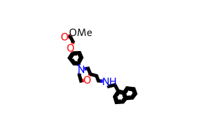 COC(=O)COc1ccc(N2CCOC(CCNCCc3cccc4ccccc34)C2)cc1